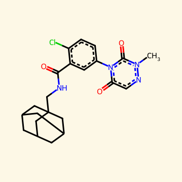 Cn1ncc(=O)n(-c2ccc(Cl)c(C(=O)NCC34CC5CC(CC(C5)C3)C4)c2)c1=O